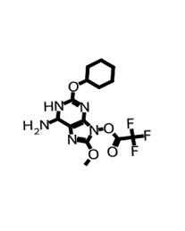 COc1nc2c(n1OC(=O)C(F)(F)F)N=C(OC1CCCCC1)NC2N